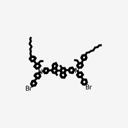 CCCCCCCCc1ccc(-c2ccc(N(c3ccc(-c4ccc(Br)cc4)cc3)c3ccc(-c4cc(C)c(-c5c(C)cc(-c6ccc(N(c7ccc(-c8ccc(Br)cc8)cc7)c7ccc(-c8ccc(CCCCCCCC)cc8)c(CC)c7)cc6)c6ccccc56)c5ccccc45)cc3)cc2CC)cc1